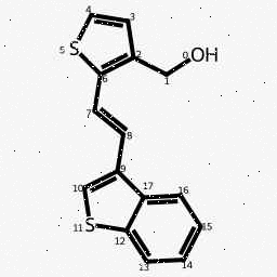 OCc1ccsc1C=Cc1csc2ccccc12